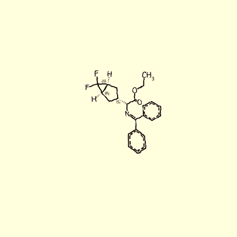 CCOC(=O)C(N=C(c1ccccc1)c1ccccc1)[C@@H]1C[C@@H]2[C@H](C1)C2(F)F